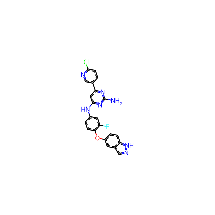 Nc1nc(Nc2ccc(Oc3ccc4[nH]ncc4c3)c(F)c2)cc(-c2ccc(Cl)nc2)n1